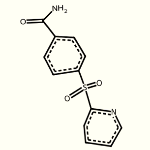 NC(=O)c1ccc(S(=O)(=O)c2ccccn2)cc1